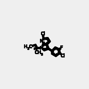 CC[C@@H](C)n1cc(-c2ccc(Cl)c(F)c2)c2ccc(Cl)nc21